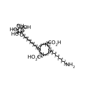 NCCCCCCCCCCN1CCCN(CC(=O)O)CCN(CCCCCCCCCCO[C@@H]2OC(CO)[C@@H](O)[C@H](O)C2O)CCCN(CC(=O)O)CC1